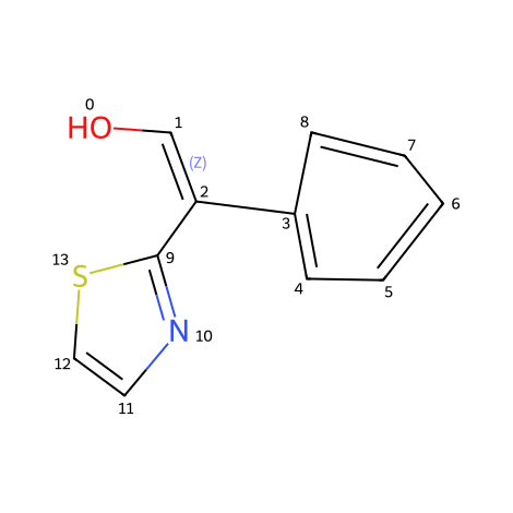 O/C=C(/c1ccccc1)c1nccs1